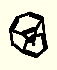 c1cc2ccc1sc1ccc2c2c1S2